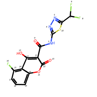 O=C(Nc1nnc(C(F)F)s1)c1c(O)c2c(F)cccc2oc1=O